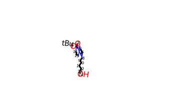 CC(C)(C)OC(=O)N1CCN(CCCCCCO)CC1